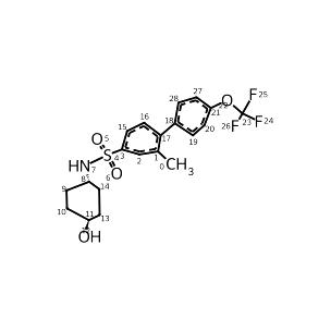 Cc1cc(S(=O)(=O)N[C@H]2CC[C@H](O)CC2)ccc1-c1ccc(OC(F)(F)F)cc1